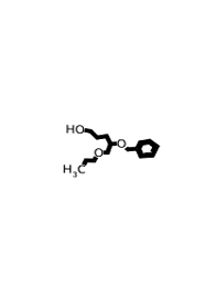 CCCOCC(CCCO)OCc1ccccc1